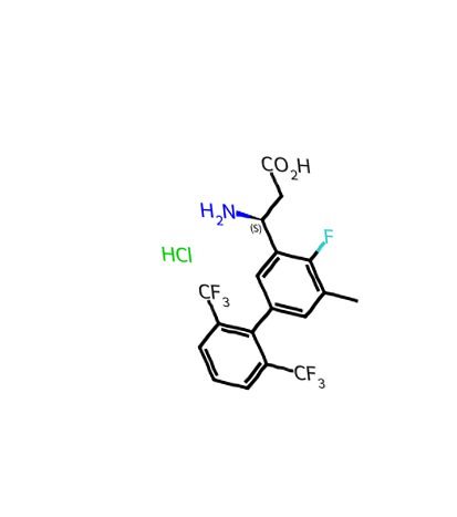 Cc1cc(-c2c(C(F)(F)F)cccc2C(F)(F)F)cc([C@@H](N)CC(=O)O)c1F.Cl